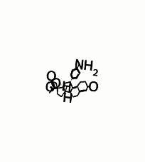 CC(=O)O[C@]1(C(C)=O)CC[C@H]2[C@@H]3CCC4=CC(=O)CCC4=C3[C@@H](c3ccc(N)cc3)C[C@@]21C